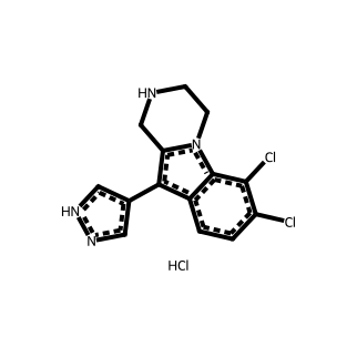 Cl.Clc1ccc2c(-c3cn[nH]c3)c3n(c2c1Cl)CCNC3